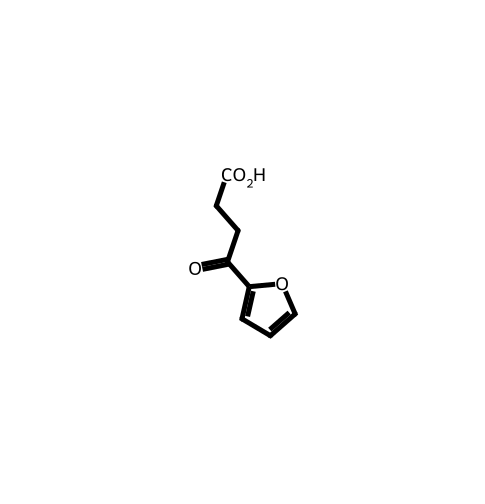 O=C(O)CCC(=O)c1ccco1